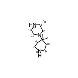 C[C@@H]1CN(C2(C)CCNCC2)CCN1